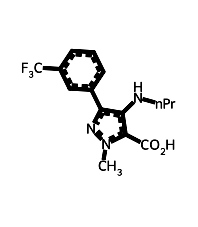 CCCNc1c(-c2cccc(C(F)(F)F)c2)nn(C)c1C(=O)O